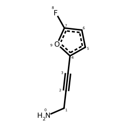 NCC#Cc1ccc(F)o1